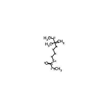 CCC(=O)SCCCCC(C)(C)CC